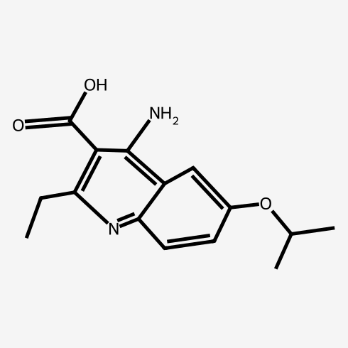 CCc1nc2ccc(OC(C)C)cc2c(N)c1C(=O)O